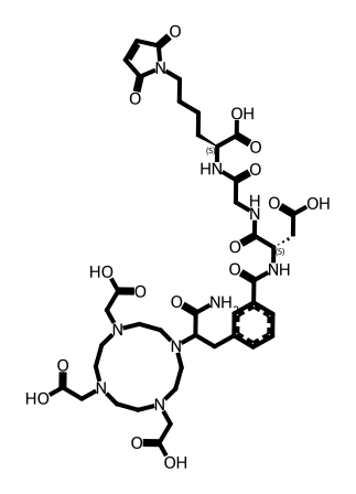 NC(=O)C(Cc1cccc(C(=O)N[C@@H](CC(=O)O)C(=O)NCC(=O)N[C@@H](CCCCN2C(=O)C=CC2=O)C(=O)O)c1)N1CCN(CC(=O)O)CCN(CC(=O)O)CCN(CC(=O)O)CC1